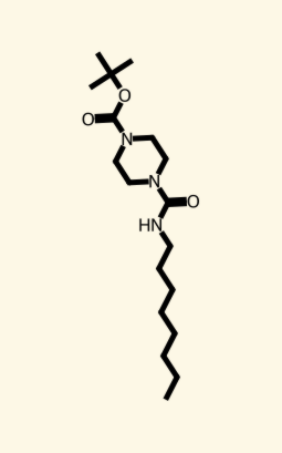 CCCCCCCCNC(=O)N1CCN(C(=O)OC(C)(C)C)CC1